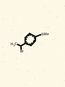 CSc1ccc(C(C)Br)cc1